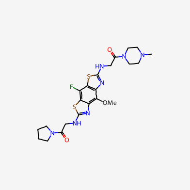 COc1c2nc(NCC(=O)N3CCCC3)sc2c(F)c2sc(NCC(=O)N3CCN(C)CC3)nc12